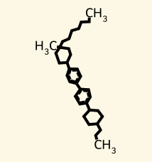 CCCCCCCC1(C)CCC(c2ccc(-c3ccc(C4CCC(CCC)CC4)cc3)cc2)CC1